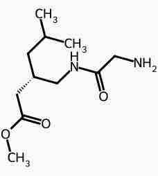 COC(=O)C[C@@H](CNC(=O)CN)CC(C)C